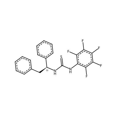 Fc1c(F)c(F)c(NC(=S)N[C@@H](Cc2ccccc2)c2ccccc2)c(F)c1F